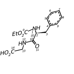 CCOC(=O)N[C@@H](Cc1ccccc1)C(=O)NCC(=O)O